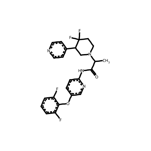 CC(C(=O)Nc1ccc(Oc2c(F)cccc2F)cn1)N1CCC(F)(F)C(c2ccncc2)C1